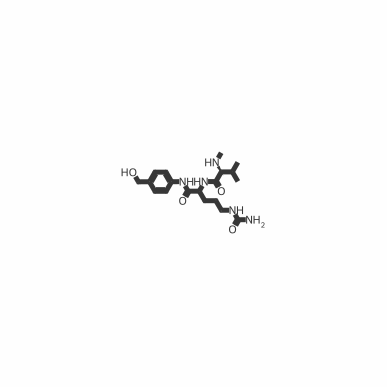 CN[C@H](C(=O)NC(CCCNC(N)=O)C(=O)Nc1ccc(CO)cc1)C(C)C